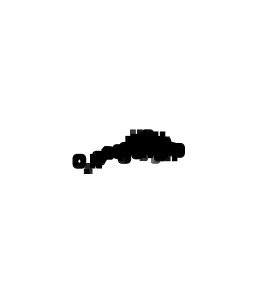 C[C@]12C=CC(=O)C=C1CC[C@H]1[C@@H]3C[C@@H](O)[C@](O)(C(=O)COC(=O)C(N)COC(=O)OCc4cccc(CO[N+](=O)[O-])c4)[C@@]3(C)C[C@H](O)[C@@]12F